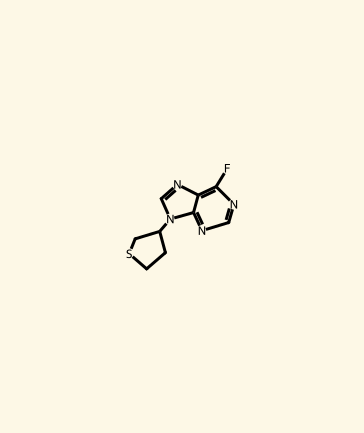 Fc1ncnc2c1ncn2C1CCSC1